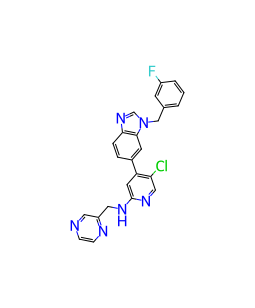 Fc1cccc(Cn2cnc3ccc(-c4cc(NCc5cnccn5)ncc4Cl)cc32)c1